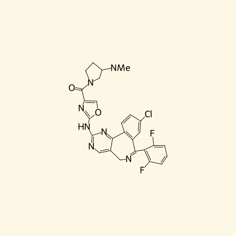 CNC1CCN(C(=O)c2coc(Nc3ncc4c(n3)-c3ccc(Cl)cc3C(c3c(F)cccc3F)=NC4)n2)C1